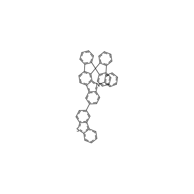 c1ccc(-n2c3ccc(-c4ccc5sc6ccccc6c5c4)cc3c3ccc4c(c32)C2(c3ccccc3-c3ccccc32)c2ccccc2-4)cc1